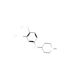 CCOC(=O)N1CCC(Nc2ccc(NC)c(OC)c2)CC1